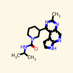 Cc1nc(C2CCCN(C(=O)NC(C)C)C2)c2c(cnc3[nH]ccc32)n1